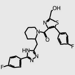 O=C(c1nc(CO)sc1-c1ccc(F)cc1)N1CCCCC1Cc1nnc(-c2ccc(F)cc2)[nH]1